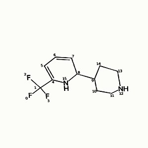 FC(F)(F)C1=CC=CC(C2CCNCC2)N1